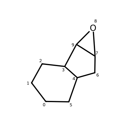 C1CCC2C(C1)CC1OC12